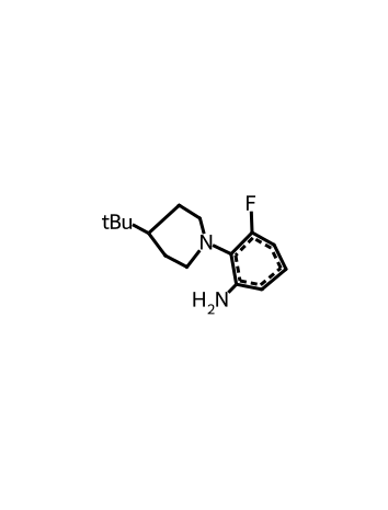 CC(C)(C)C1CCN(c2c(N)cccc2F)CC1